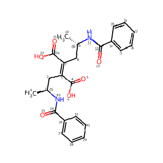 C[C@@H](CC(C(=O)O)=C(C[C@H](C)NC(=O)c1ccccc1)C(=O)O)NC(=O)c1ccccc1